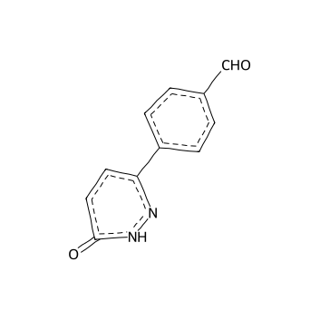 O=Cc1ccc(-c2ccc(=O)[nH]n2)cc1